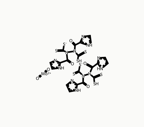 O=C(c1ncc[nH]1)N(C(=S)[S-])N(C(=O)c1ncc[nH]1)C(=S)S.O=C(c1ncc[nH]1)N(C(=S)[S-])N(C(=O)c1ncc[nH]1)C(=S)S.[O]=[Mo+2]=[O]